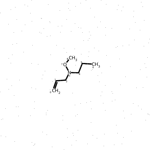 C=CCN(CCC)OC